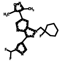 Cc1noc(C)c1-c1cnc2c(-c3cnn(C(F)F)c3)nn(CC3(F)CCCCC3)c2c1